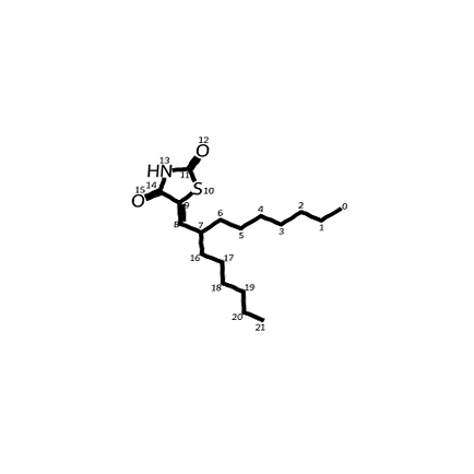 CCCCCCCC(/C=C1\SC(=O)NC1=O)CCCCCC